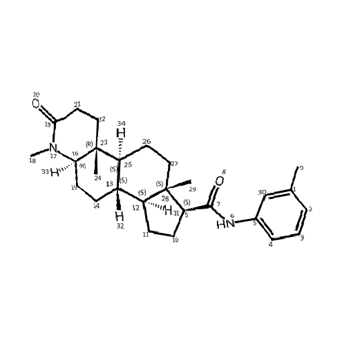 Cc1cccc(NC(=O)[C@H]2CC[C@H]3[C@@H]4CC[C@H]5N(C)C(=O)CC[C@]5(C)[C@H]4CC[C@]23C)c1